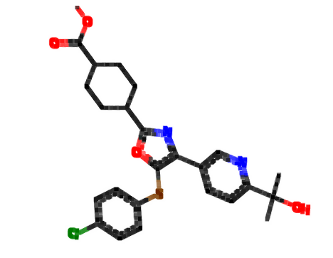 COC(=O)C1CCC(c2nc(-c3ccc(C(C)(C)O)nc3)c(Sc3ccc(Cl)cc3)o2)CC1